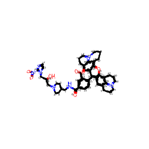 O=C(NCC1CCN(CC(O)Cn2ccnc2[N+](=O)[O-])CC1)c1ccc(C2=c3cc4c5c(c3Oc3c2cc2c6c3CCCN6CCC2)CCC[N+]=5CCC4)c(C(=O)[O-])c1